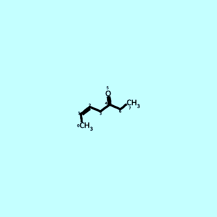 C/C=C\CC(=O)CC